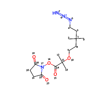 CC(C)(CCN=[N+]=N)CCOC(C)(C)C(=O)ON1C(=O)CCC1=O